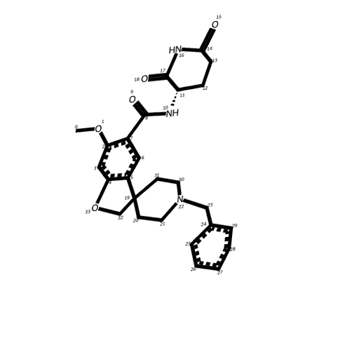 COc1cc2c(cc1C(=O)N[C@H]1CCC(=O)NC1=O)C1(CCN(Cc3ccccc3)CC1)CO2